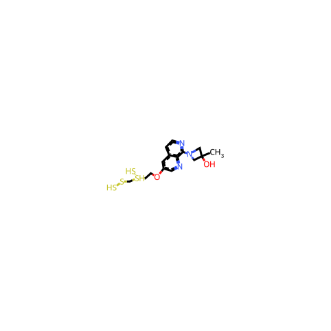 CC1(O)CN(c2nccc3cc(OCC[SH](S)CSS)cnc23)C1